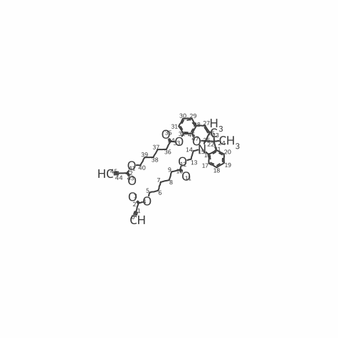 C#CC(=O)OCCCCCC(=O)OCCN1c2ccccc2C(C)(C)C12C=Cc1cccc(OC(=O)CCCCCOC(=O)C#C)c1O2